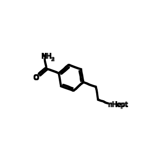 CCCCCCCCCc1ccc(C(N)=O)cc1